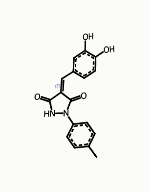 Cc1ccc(N2NC(=O)/C(=C/c3ccc(O)c(O)c3)C2=O)cc1